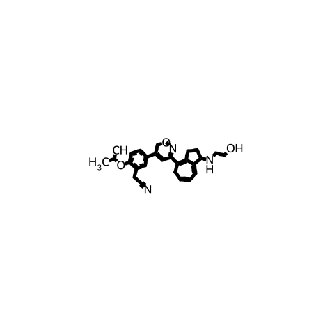 CC(C)Oc1ccc(C2=CC(C3=C4CCC(NCCO)C4=CC=CC3)=NOC2)cc1CC#N